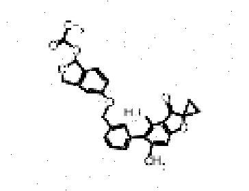 CC(=O)O[C@@H]1OCc2cc(OCc3cccc(-c4c(C)cc5c(c4C)C(=O)C4(CC4)O5)c3)ccc21